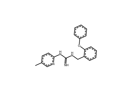 Cc1ccc(NC(=N)NCc2ccccc2Oc2ccccc2)nc1